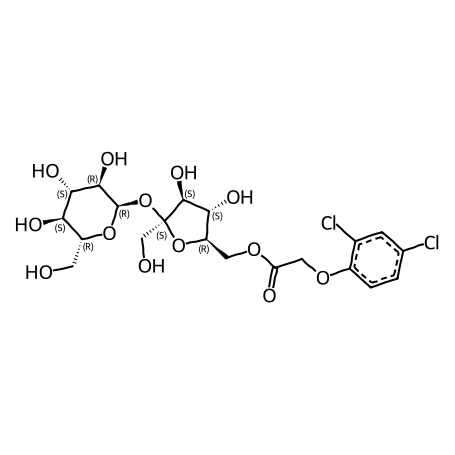 O=C(COc1ccc(Cl)cc1Cl)OC[C@H]1O[C@@](CO)(O[C@H]2O[C@H](CO)[C@@H](O)[C@H](O)[C@H]2O)[C@@H](O)[C@@H]1O